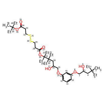 CCC(C)(CC)CC(O)COc1cccc(OCC(O)CC(CC)(CC)C(CC)(CC)OC(=O)CCSSCCC(=O)OC(C)(CC)CC)c1